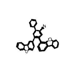 N#Cc1cc(-c2cccc3c2oc2ccccc23)c(-c2ccc3oc4ccccc4c3c2)cc1-c1ccccc1